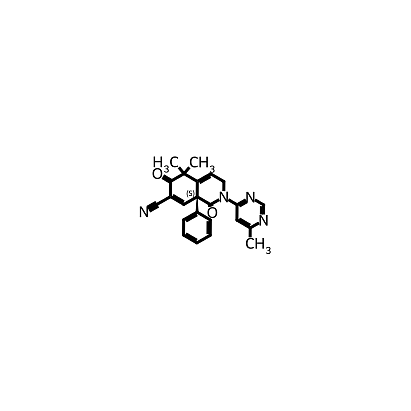 Cc1cc(N2CC=C3C(C)(C)C(=O)C(C#N)=C[C@@]3(c3ccccc3)C2=O)ncn1